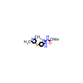 COC(=O)Nc1nc2cc(Sc3cc(C)nc(C)c3)ccc2[nH]1